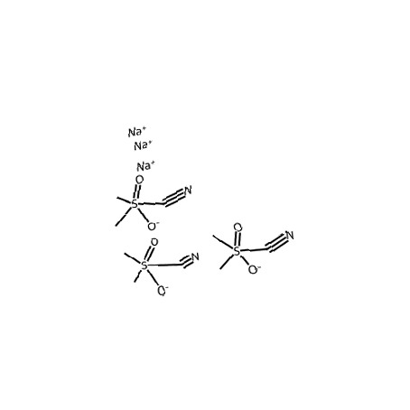 CS(C)(=O)([O-])C#N.CS(C)(=O)([O-])C#N.CS(C)(=O)([O-])C#N.[Na+].[Na+].[Na+]